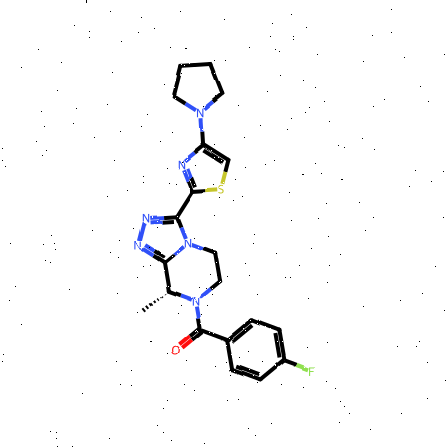 C[C@@H]1c2nnc(-c3nc(N4CCCC4)cs3)n2CCN1C(=O)c1ccc(F)cc1